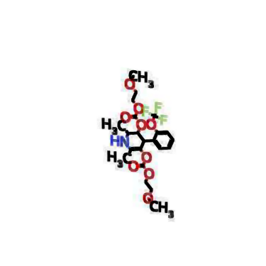 COCCOC(=O)OC1=C(C)NC(C)C(OC(=O)OCCOC)C1c1ccccc1OC(F)(F)F